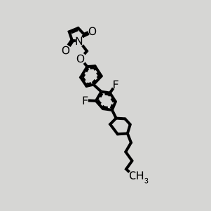 CCCCCC1CCC(c2cc(F)c(-c3ccc(OCN4C(=O)C=CC4=O)cc3)c(F)c2)CC1